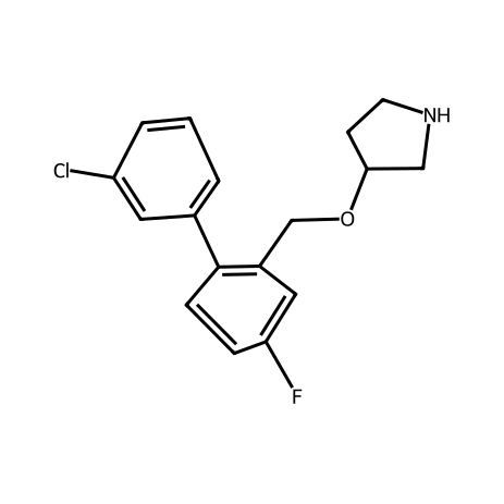 Fc1ccc(-c2cccc(Cl)c2)c(COC2CCNC2)c1